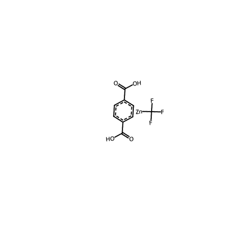 F[C](F)(F)[Zn].O=C(O)c1ccc(C(=O)O)cc1